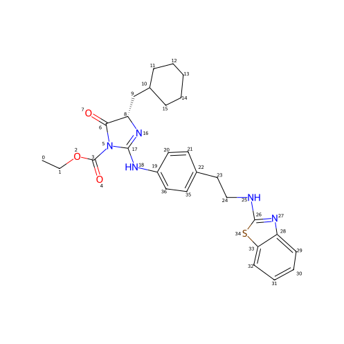 CCOC(=O)N1C(=O)[C@H](CC2CCCCC2)N=C1Nc1ccc(CCNc2nc3ccccc3s2)cc1